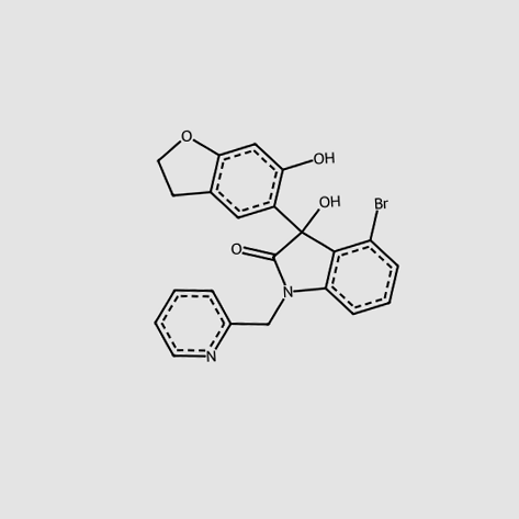 O=C1N(Cc2ccccn2)c2cccc(Br)c2C1(O)c1cc2c(cc1O)OCC2